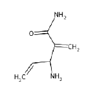 C=CC(N)C(=C)C(N)=O